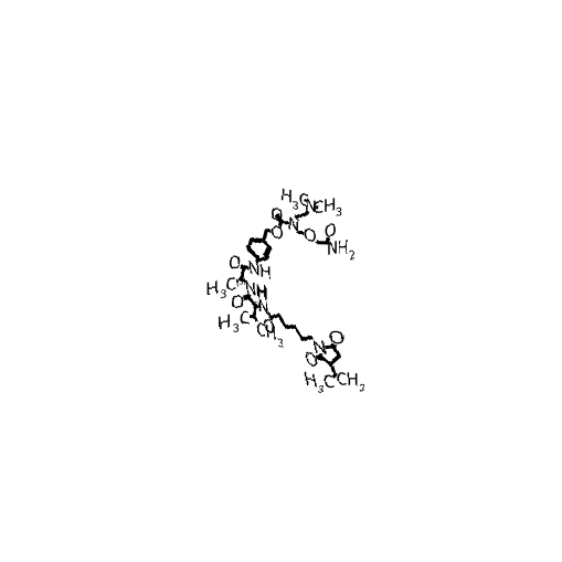 CC(C)C1CC(=O)N(CCCCCC(=O)N[C@H](C(=O)N[C@@H](C)C(=O)Nc2ccc(COC(=O)N(CCN(C)C)COCC(N)=O)cc2)C(C)C)C1=O